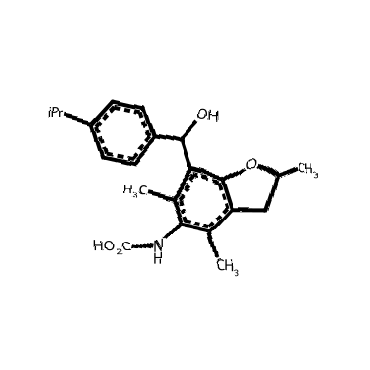 Cc1c2c(c(C(O)c3ccc(C(C)C)cc3)c(C)c1NC(=O)O)OC(C)C2